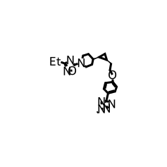 CCc1noc(N2CCC([C@H]3C[C@H]3CCOc3ccc(-c4nnn(C)n4)cc3)CC2)n1